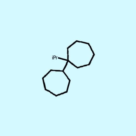 CC(C)C1(C2CCCCCC2)CCCCCC1